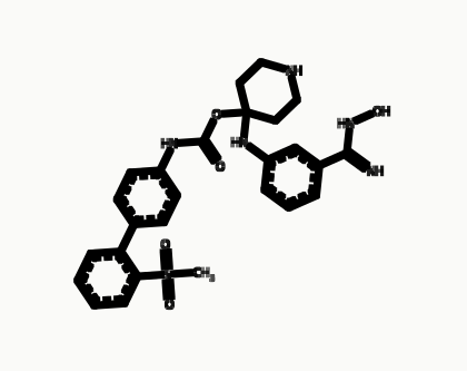 CS(=O)(=O)c1ccccc1-c1ccc(NC(=O)OC2(Nc3cccc(C(=N)NO)c3)CCNCC2)cc1